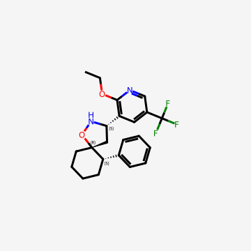 CCOc1ncc(C(F)(F)F)cc1[C@@H]1C[C@@]2(CCCC[C@H]2c2ccccc2)ON1